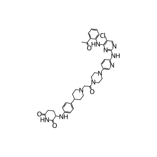 CC(=O)c1ccccc1Nc1nc(Nc2ccc(N3CCN(C(=O)CN4CCC(c5ccc(NC6CCC(=O)NC6=O)cc5)CC4)CC3)cn2)ncc1Cl